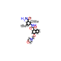 COc1c(NC(=O)C(=O)c2ccc(OCCN3CCOCC3)c3ccccc23)cc(C(C)(C)C)cc1C(N)=O